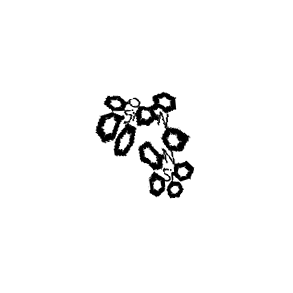 c1ccc([Si]2(c3ccccc3)c3ccccc3N(c3cccc(-n4c5ccccc5c5c6c(ccc54)[Si](c4ccccc4)(c4ccccc4)c4ccccc4O6)c3)c3ccccc32)cc1